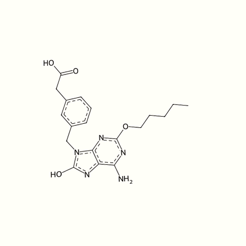 CCCCCOc1nc(N)c2nc(O)n(Cc3cccc(CC(=O)O)c3)c2n1